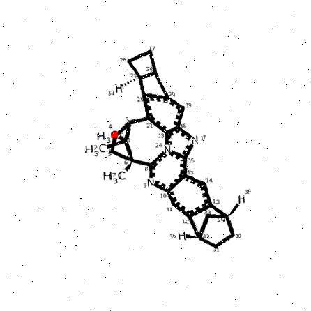 CC1(C)C2CC[C@@]1(C)c1nc3cc4c(cc3c3nc5cc6c(c2c5n13)[C@H]1CCC61)[C@@H]1CC[C@H]4C1